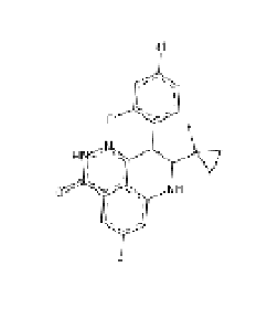 O=c1[nH]nc2c3c(cc(F)cc13)NC(C1(F)CC1)C2c1ccc(Cl)cc1F